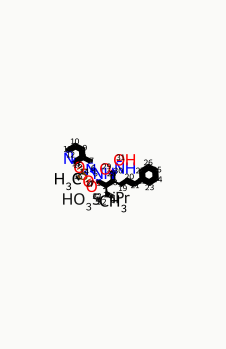 CC(C)C[C@@H](C(=O)NN(Cc1cccnc1)S(C)(=O)=O)[C@H](CC=Cc1ccccc1)C(=O)NO.CS(=O)(=O)O